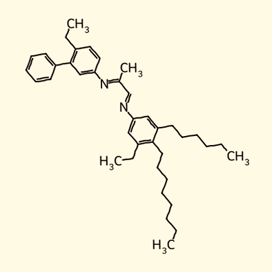 CCCCCCCCc1c(CC)cc(N=CC(C)=Nc2ccc(CC)c(-c3ccccc3)c2)cc1CCCCCC